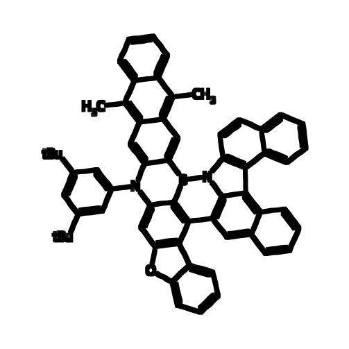 Cc1c2ccccc2c(C)c2cc3c(cc12)B1c2c(cc4oc5ccccc5c4c2-c2cc4ccccc4c4c5c6ccccc6ccc5n1c24)N3c1cc(C(C)(C)C)cc(C(C)(C)C)c1